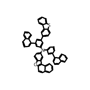 c1cc(-c2cccc3ccccc23)cc(N(c2cc(-c3ccc4sc5ccccc5c4c3)cc(-c3cccc4ccccc34)c2)c2ccc3oc4ccc5ccccc5c4c3c2)c1